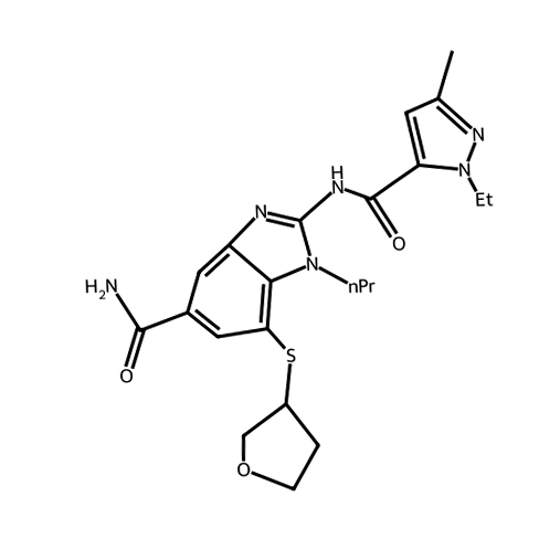 CCCn1c(NC(=O)c2cc(C)nn2CC)nc2cc(C(N)=O)cc(SC3CCOC3)c21